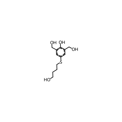 OCCCCSc1cc(CO)c(O)c(CO)c1